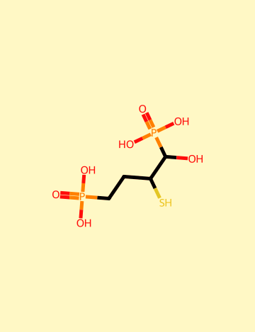 O=P(O)(O)CCC(S)C(O)P(=O)(O)O